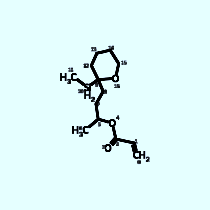 C=CC(=O)OC(C)CCC1([SiH2]C)CCCCO1